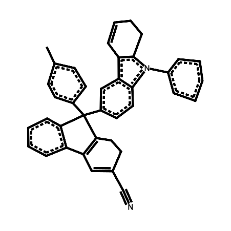 Cc1ccc(C2(c3ccc4c(c3)c3c(n4-c4ccccc4)CCC=C3)C3=C(C=C(C#N)CC3)c3ccccc32)cc1